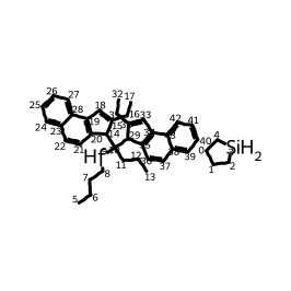 C1CC[SiH2]C1.CCC[CH2][Hf][C](CCC)(C1C(CC)=Cc2c1ccc1ccccc21)C1C(CC)=Cc2c1ccc1ccccc21